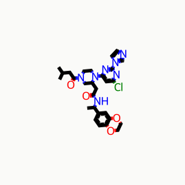 CC(C)CC(=O)N1CCN(c2cc(Cl)nc(-n3ccnc3)n2)C(CC(=O)NC(C)c2ccc3c(c2)OCCO3)C1